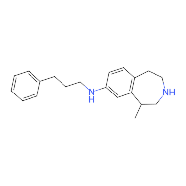 CC1CNCCc2ccc(NCCCc3ccccc3)cc21